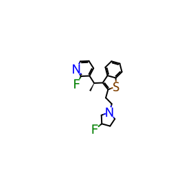 C[C@@H](c1cccnc1F)c1c(CCN2CCC(F)C2)sc2ccccc12